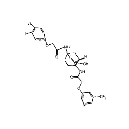 O=C(COc1ccc(Cl)c(F)c1)NC12CCC(NC(=O)COc3cncc(C(F)(F)F)c3)(CC1)[C@@H](O)C2